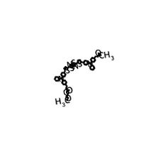 COCCOC(=O)CCc1ccc(N(c2ccccc2)c2ccc(-c3ccc(-c4nc5sc(-c6ccc(-c7ccc(N(c8ccccc8)c8ccc(CCC(C)=O)cc8)cc7)s6)nc5s4)s3)cc2)cc1